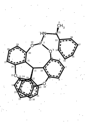 C[C@H](NP1Oc2cccc3c2C2(c4ccccc4O3)c3ccccc3Oc3cccc(c32)O1)c1ccccc1